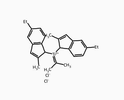 CCc1ccc2c(c1)C=C(C)[CH]2[Ti+2](=[C](C)C)[CH]1C(C)=Cc2cc(CC)ccc21.[Cl-].[Cl-]